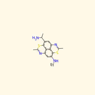 CCNc1cc2c3c(c(C(C)N)cc4c3c1SC(C)=N4)SC(C)=N2